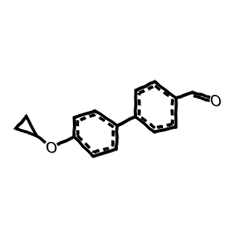 O=Cc1ccc(-c2ccc(OC3CC3)cc2)cc1